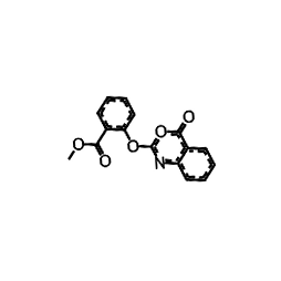 COC(=O)c1ccccc1Oc1nc2ccccc2c(=O)o1